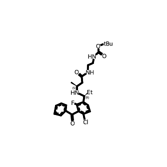 CC[C@@H](N[C@@H](C)CC(=O)NCCNC(=O)OC(C)(C)C)c1ccc(Cl)c(C(=O)c2ccccc2)c1F